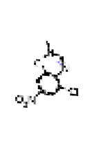 CN(C)/C=N\c1c(Cl)cc([N+](=O)[O-])cc1Cl